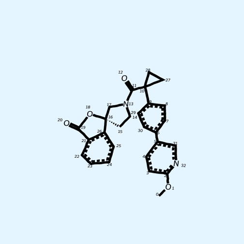 COc1ccc(-c2ccc(C3(C(=O)N4CC[C@@]5(C4)OC(=O)c4ccccc45)CC3)cc2)cn1